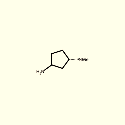 CN[C@H]1CCC(N)C1